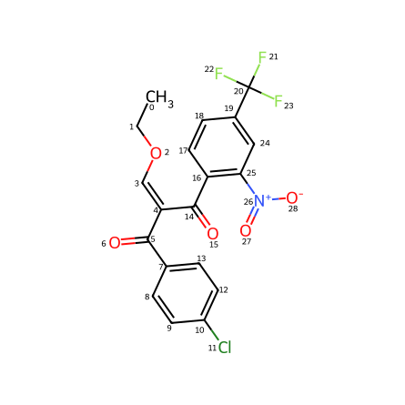 CCOC=C(C(=O)c1ccc(Cl)cc1)C(=O)c1ccc(C(F)(F)F)cc1[N+](=O)[O-]